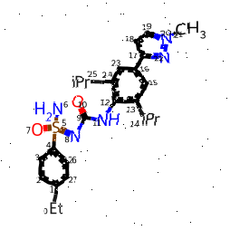 CCc1ccc(S(N)(=O)=NC(=O)Nc2c(C(C)C)cc(-c3ccn(C)n3)cc2C(C)C)cc1